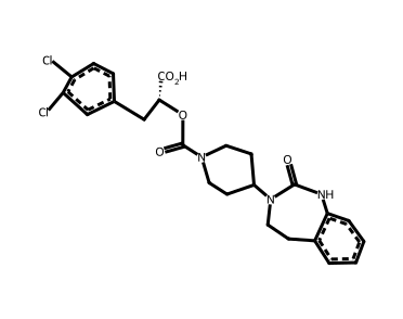 O=C(O)[C@@H](Cc1ccc(Cl)c(Cl)c1)OC(=O)N1CCC(N2CCc3ccccc3NC2=O)CC1